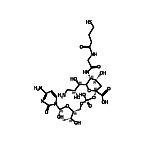 C[C@@H](O)[C@@H](COP(=O)(O)O[C@@]1(C(=O)O)C[C@@H](O)[C@@H](NC(=O)CNC(=O)CCCS)C([C@H](O)[C@H](O)CN)O1)O[C@H](O)n1ccc(N)nc1=O